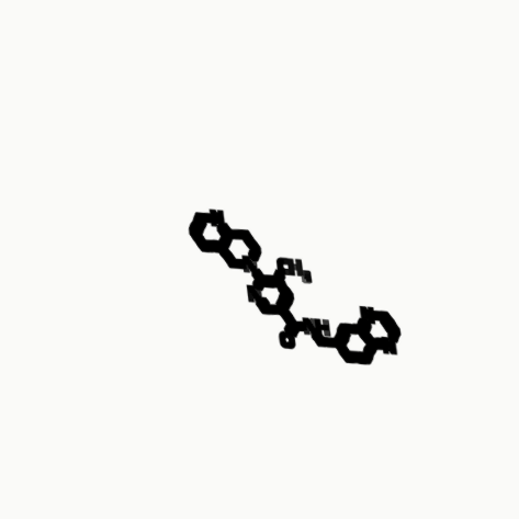 Cc1cc(C(=O)NCc2ccc3nccnc3c2)cnc1N1CCc2ncccc2C1